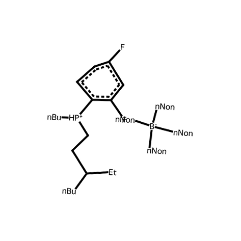 CCCCC(CC)CC[PH+](CCCC)c1ccc(F)cc1F.CCCCCCCCC[B-](CCCCCCCCC)(CCCCCCCCC)CCCCCCCCC